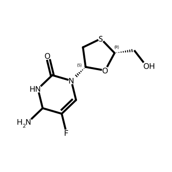 NC1NC(=O)N([C@@H]2CS[C@H](CO)O2)C=C1F